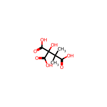 CC(C)(C(=O)O)C(O)(C(=O)O)C(=O)O